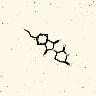 C[CH]Cc1ccc2c(c1)C(=O)N(C1CCC(=O)NC1=O)C2=O